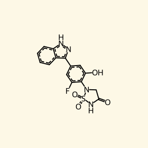 O=C1CN(c2c(O)cc(-c3n[nH]c4ccccc34)cc2F)S(=O)(=O)N1